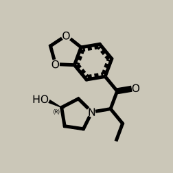 CCC(C(=O)c1ccc2c(c1)OCO2)N1CC[C@@H](O)C1